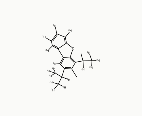 [2H]c1c([2H])c([2H])c2c(oc3c(C([2H])(C)C([2H])([2H])[2H])c(I)c(C([2H])(C([2H])([2H])[2H])C([2H])([2H])[2H])c([2H])c32)c1[2H]